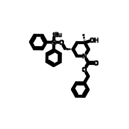 CC(C)(C)[Si](OC[C@H]1CN(C(=O)OCc2ccccc2)C[C@](C)(O)C1)(c1ccccc1)c1ccccc1